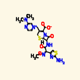 CO/N=C(\C(=O)NC1C(=O)N2C(C(=O)[O-])=C(C[n+]3ccnc(N(C)C)c3)CS[C@H]12)c1csc(N)n1